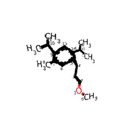 COCCCc1cc(C)c(C(C)C)cc1C(C)C